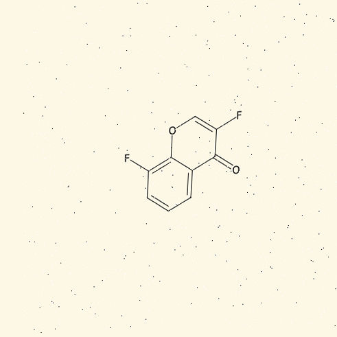 O=c1c(F)coc2c(F)cccc12